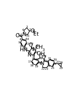 CCOC1CCN(C(=O)c2ccc(Nc3nc(-c4cccc(N5CCc6cc(C7CC7)ccc6C5=O)c4CO)cn(C)c3=O)cc2)C1